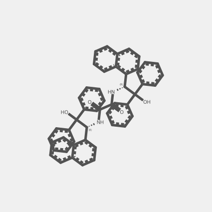 O=C(N[C@H](c1cccc2ccccc12)C(O)(c1ccccc1)c1ccccc1)C(=O)N[C@H](c1cccc2ccccc12)C(O)(c1ccccc1)c1ccccc1